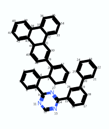 C1=CCC(c2ccccc2-c2ncnc(-c3cccc(-c4ccccc4)c3)n2)C(C2=CC3c4ccccc4-c4ccccc4C3C=C2)=C1